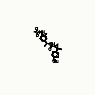 Cc1cc(C(C)NC(=O)C2CC2(C)c2ccc(C(C)(C)C)nc2)ccc1NS(C)(=O)=O